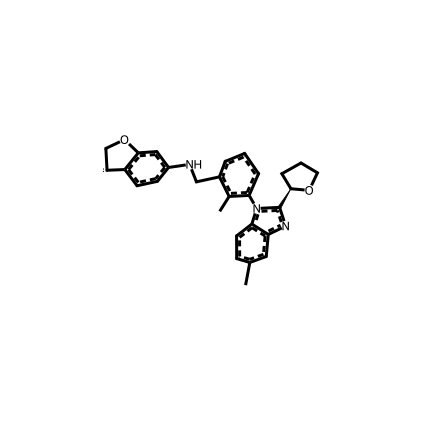 Cc1ccc2c(c1)nc([C@H]1CCCO1)n2-c1cccc(CNc2ccc3c(c2)OC[C]3)c1C